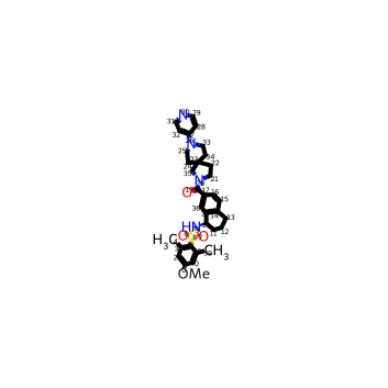 COc1cc(C)c(S(=O)(=O)N[C@@H]2CCCc3ccc(C(=O)N4CCC5(CCN(c6ccncc6)CC5)C4)cc32)c(C)c1